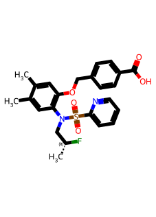 Cc1cc(OCc2ccc(C(=O)O)cc2)c(N(C[C@@H](C)F)S(=O)(=O)c2ccccn2)cc1C